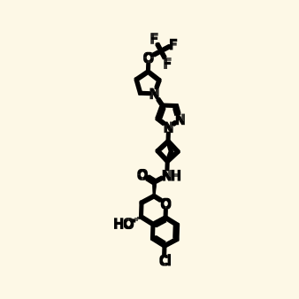 O=C(NC12CC(n3cc(N4CCC(OC(F)(F)F)C4)cn3)(C1)C2)[C@@H]1C[C@@H](O)c2cc(Cl)ccc2O1